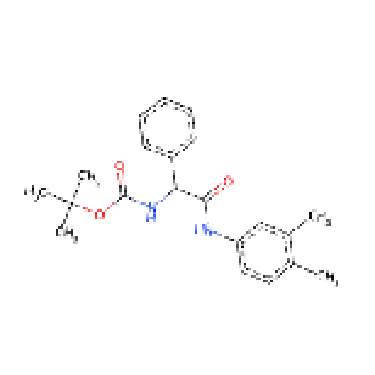 Cc1ccc(NC(=O)C(NC(=O)OC(C)(C)C)c2ccccc2)cc1C